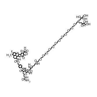 CC[C@@]1(O)C(=O)OCc2c1cc1n(c2=O)Cc2c-1nc1cc(F)c(C)c3c1c2[C@@H](NC(=O)OCc1ccc(NC(=O)[C@H](CCCNC(N)=O)NC(=O)[C@@H](NC(=O)[C@@H](N)CCCCNC(=O)CCOCCOCCOCCOCCOCCOCCOCCOCCOCCOCCOCCOCCN(CC[C@@H](O)[C@@H](O)CO)CC[C@@H](O)[C@@H](O)CO)C(C)C)cc1)CC3